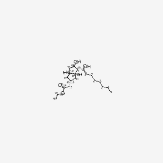 CCCCCCC=C(O)[C@@H]1[C@@H]2C[C@H](CC(=O)OCC)C[C@@H]2C[C@H]1O